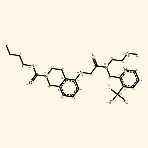 CCCCNC(=O)N1CCc2c(cccc2NCC(=O)N(CCNC)Cc2ncccc2C(F)(F)F)C1